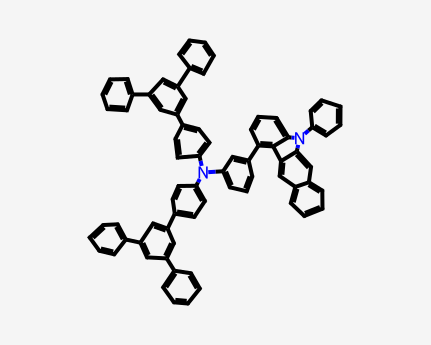 c1ccc(-c2cc(-c3ccccc3)cc(-c3ccc(N(c4ccc(-c5cc(-c6ccccc6)cc(-c6ccccc6)c5)cc4)c4cccc(-c5cccc6c5c5cc7ccccc7cc5n6-c5ccccc5)c4)cc3)c2)cc1